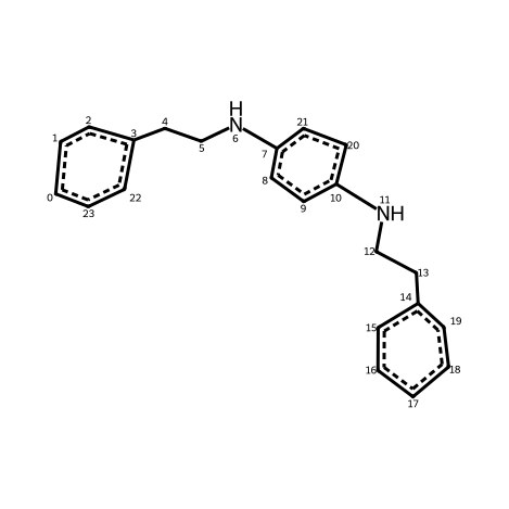 c1ccc(CCNc2ccc(NCCc3ccccc3)cc2)cc1